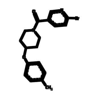 Cc1ccc(OC2CCN(C(=O)c3ccc(Br)nc3)CC2)cc1